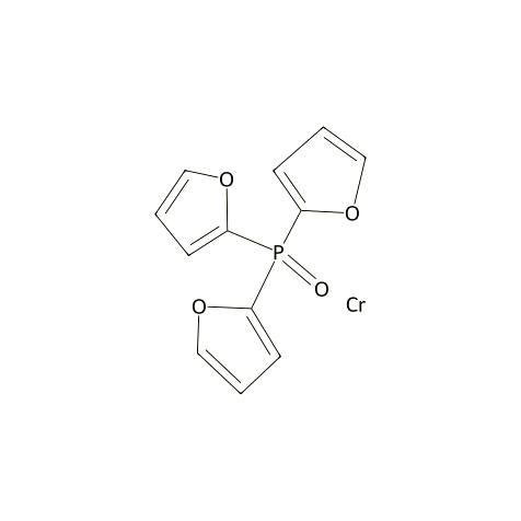 O=P(c1ccco1)(c1ccco1)c1ccco1.[Cr]